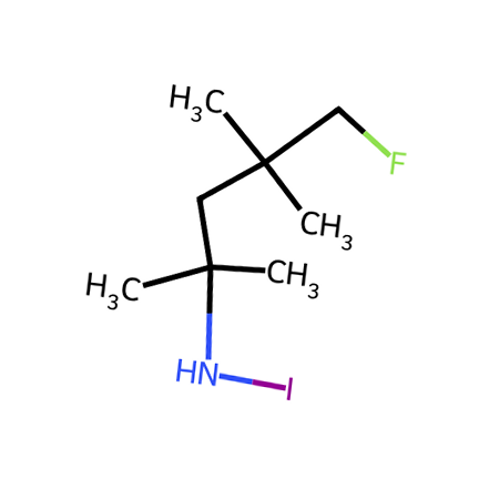 CC(C)(CF)CC(C)(C)NI